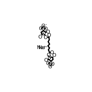 O=C(CCCCCCC(=O)ON1C(=O)CC(S(=O)(=O)[O-])C1=O)ON1C(=O)CC(S(=O)(=O)[O-])C1=O.[Na+].[Na+]